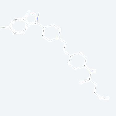 COCCC(=O)NC1CCC(CCN2CCC(c3noc4cc(Cl)ccc34)CC2)CC1